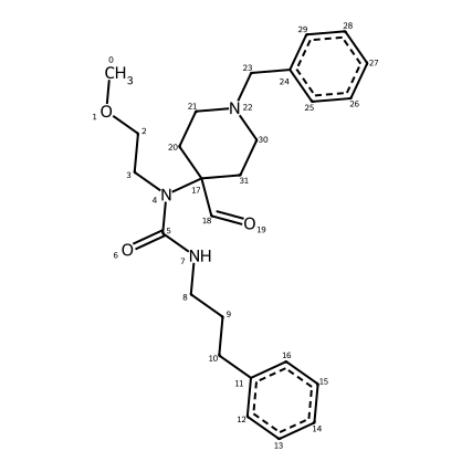 COCCN(C(=O)NCCCc1ccccc1)C1(C=O)CCN(Cc2ccccc2)CC1